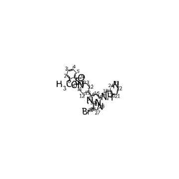 Cc1ccccc1S(=O)(=O)N1CCC(c2cc(NCc3cccnc3)n3ncc(Br)c3n2)CC1